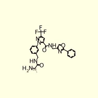 C[C@H](N)C(=O)NCc1cccc(-n2nc(C(F)(F)F)cc2C(=O)NCc2coc(-c3ccccc3)n2)c1